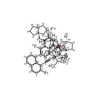 CC(C)[Si](C#Cc1c(F)ccc2cccc(-c3nc4c5c(nc(=O)n(C[C@@]67CCCN6C[C@H](F)C7)c5c3F)N3C[C@H]5CC[C@@H]([C@H]3[C@H](C)O4)N5C(=O)OC(C)(C)C)c12)(C(C)C)C(C)C